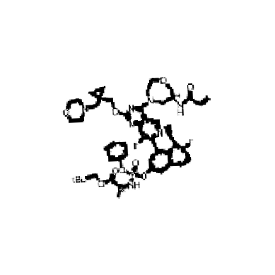 C#Cc1c(F)ccc2cc(OP(=O)(N[C@@H](C)C(=O)OCC(C)(C)C)Oc3ccccc3)cc(-c3ncc4c(N5CCOC[C@@H](NC(=O)C=C)C5)nc(OCC5(CN6CCOCC6)CC5)nc4c3F)c12